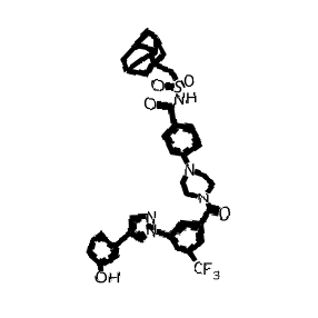 O=C(NS(=O)(=O)CC12CC3CC(CC(C3)C1)C2)c1ccc(N2CCN(C(=O)c3cc(-n4cc(-c5cccc(O)c5)cn4)cc(C(F)(F)F)c3)CC2)cc1